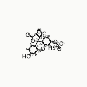 O=C1OC2(c3ccc(O)cc3Oc3cc(OS(=O)(=O)S)ccc32)c2ccccc21